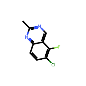 Cc1ncc2c(F)c(Cl)ccc2n1